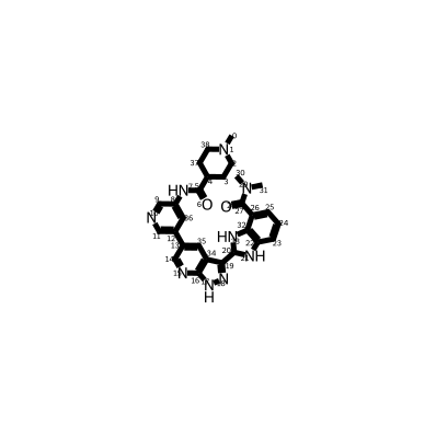 CN1CCC(C(=O)Nc2cncc(-c3cnc4[nH]nc(C5Nc6cccc(C(=O)N(C)C)c6N5)c4c3)c2)CC1